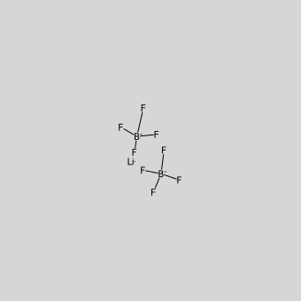 F[B-](F)(F)F.F[B-](F)(F)F.[Li]